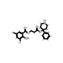 O=C(CCOC(=O)c1cc(I)cc(I)c1O)OC1(c2ccccc2)CCNCC1